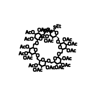 CCS[C@@H]1O[C@H](CO[C@@H]2O[C@H](CO[C@@H]3O[C@H](CO[C@@H]4O[C@H](CO[C@@H]5O[C@H](CO[C@@H]6O[C@H](COC(C)=O)[C@@H](OC(C)=O)[C@H](OC(C)=O)[C@H]6OC(C)=O)[C@@H](OC(C)=O)[C@H](OC(C)=O)[C@H]5OC(C)=O)[C@@H](OC(C)=O)[C@H](OC(C)=O)[C@H]4OC(C)=O)[C@@H](OC(C)=O)[C@H](OC(C)=O)[C@H]3OC(C)=O)[C@@H](OC(C)=O)[C@H](OC(C)=O)[C@H]2OC(C)=O)[C@@H](OC(C)=O)[C@H](OC(C)=O)[C@H]1OC(C)=O